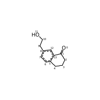 O=C1CCCc2ccc(CCO)cc21